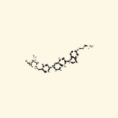 COCCOc1ccc2c(c1)ncn2-c1ccc2cc(-c3ccc(CN4C[C@@H](O)[C@H](O)C4)cc3)ccc2n1